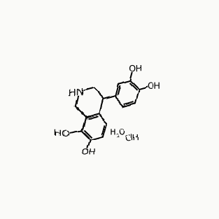 Cl.O.Oc1ccc(C2CNCc3c2ccc(O)c3O)cc1O